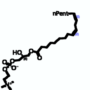 CCCCC/C=C\C/C=C\CCCCCCCC(=O)OC[C@@H](O)COP(=O)([O-])OCC[N+](C)(C)C